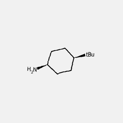 CC(C)(C)[C@H]1CC[C@@H](N)CC1